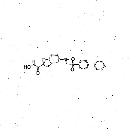 O=C(NO)c1cc2cc(NCS(=O)(=O)c3ccc(-c4ccccc4)cc3)ccc2o1